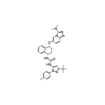 Cc1ccc(-n2nc(C(C)(C)C)cc2NC(=O)N[C@H]2CC[C@@H](Oc3ccc4nnc(N(C)C)n4c3)c3ccccc32)cc1